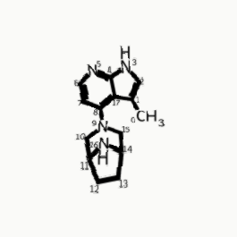 Cc1c[nH]c2nccc(N3CC4CCC(C3)N4)c12